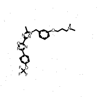 Cc1nc(-c2nc(-c3ccc(OC(F)(F)F)cc3)no2)nn1Cc1cccc(OCCCN(C)C)c1